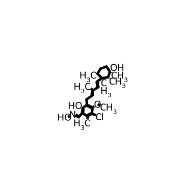 COc1c(Cl)c(C)c(/C=N/O)c(O)c1C/C=C(C)/C=C/[C@]1(C)[C@H](C)CC[C@](C)(O)[C@@H]1C